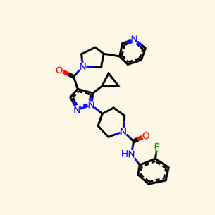 O=C(Nc1ccccc1F)N1CCC(n2ncc(C(=O)N3CCC(c4cccnc4)C3)c2C2CC2)CC1